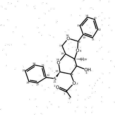 CC(=O)OC1C(O)[C@@H]2OC(c3ccccc3)OCC2O[C@@H]1Sc1ccccc1